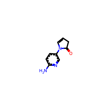 Nc1ccc(N2C=CCC2=O)cn1